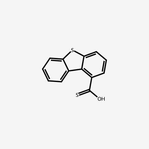 OC(=S)c1cccc2sc3ccccc3c12